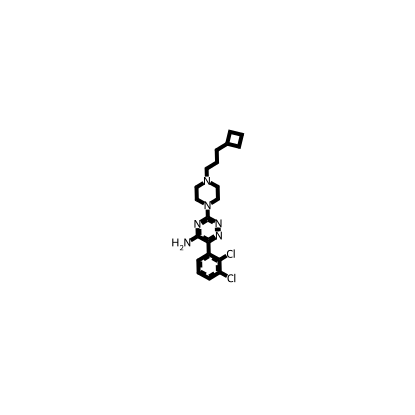 Nc1nc(N2CCN(CCCC3CCC3)CC2)nnc1-c1cccc(Cl)c1Cl